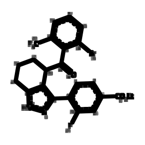 CCOC(=O)c1ccc(-c2n[nH]c3c2C(C(=O)c2c(Br)cccc2C(F)(F)F)CCC3)c(F)c1